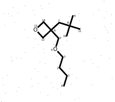 CCCCOCC1(CC(C)(C)C)COC1